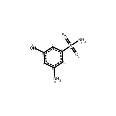 Nc1cc(N=O)cc(S(N)(=O)=O)c1